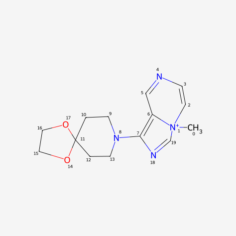 C[N+]12C=CN=CC1=C(N1CCC3(CC1)OCCO3)N=C2